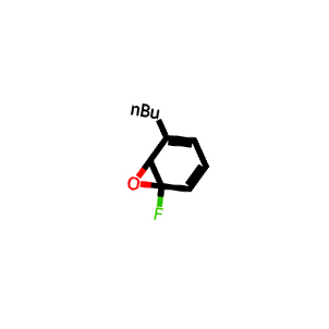 CCCCC1=CC=CC2(F)OC12